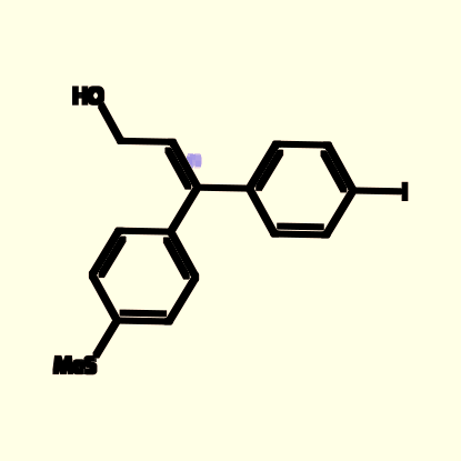 CSc1ccc(/C(=C\CO)c2ccc(I)cc2)cc1